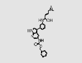 CN(C)C/C=C/C(O)Nc1cccc(-c2c[nH]c3ncc(NC(=O)OCc4ccccc4)cc23)c1